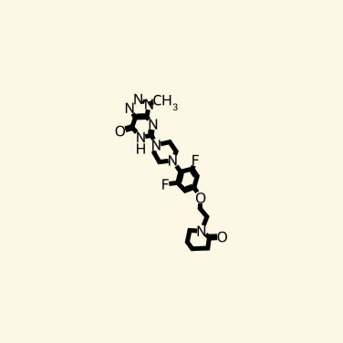 Cn1nnc2c(=O)[nH]c(N3CCN(c4c(F)cc(OCCN5CCCCC5=O)cc4F)CC3)nc21